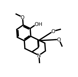 COc1ccc2c(c1O)C13CCN(C)C(C2)C1CCC(OC)(OC)C3